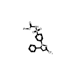 CC(C)OC(=O)NS(=O)(=O)c1ccc(N2N=C(C(F)(F)F)CC2c2ccccc2)cc1